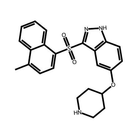 Cc1ccc(S(=O)(=O)c2n[nH]c3ccc(OC4CCNCC4)cc23)c2ccccc12